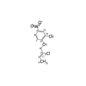 C/C=C(\Cl)COc1ccc([N+](=O)[O-])cc1Cl